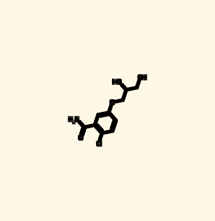 NC(=O)c1cc(OCC(O)CO)ccc1Cl